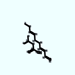 CC(C)CC(=O)O.CCC=CCCC=CC=O